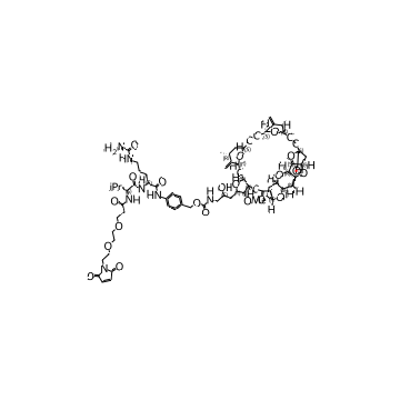 C=C1C[C@@H]2CC[C@@]34C[C@H]5OC6[C@@H](O[C@H]7CC[C@H](CC(=O)C[C@@H]8[C@@H](OC)[C@@H](C[C@H](O)CNC(=O)OCc9ccc(NC(=O)[C@H](CCCNC(N)=O)NC(=O)[C@@H](NC(=O)CCOCCOCCN%10C(=O)C=CC%10=O)C(C)C)cc9)O[C@H]8C[C@H]8O[C@@H](CC[C@@H]1O2)C[C@@H](C)C8=C)O[C@@H]7[C@@H]6O3)[C@H]5O4